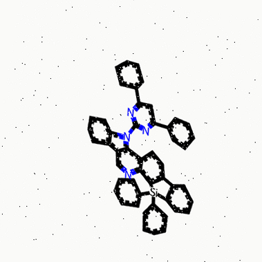 c1ccc(-c2cc(-c3ccccc3)nc(-n3c4ccccc4c4cnc5c6c(ccc5c43)-c3ccccc3[Si]6(c3ccccc3)c3ccccc3)n2)cc1